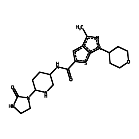 Cc1nn(C2CCOCC2)c2sc(C(=O)NC3CCC(N4CCNC4=O)NC3)cc12